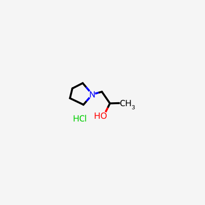 CC(O)CN1CCCC1.Cl